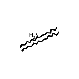 C=CCCCCCCCCCCCCCC.C=CCCCCCCCCCCCCCC.S